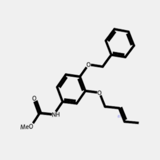 C/C=C/COc1cc(NC(=O)OC)ccc1OCc1ccccc1